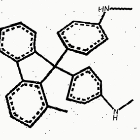 CNc1ccc(C2(c3ccc(NC)cc3)c3ccccc3-c3cccc(C)c32)cc1